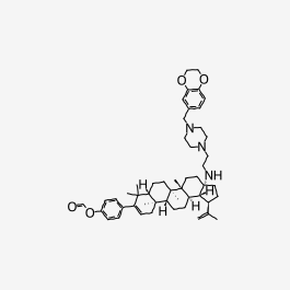 C=C(C)[C@@H]1CC[C@]2(NCCN3CCN(Cc4ccc5c(c4)OCCO5)CC3)CC[C@]3(C)[C@H](CC[C@@H]4[C@@]5(C)CC=C(c6ccc(OC=O)cc6)C(C)(C)[C@@H]5CC[C@]43C)[C@@H]12